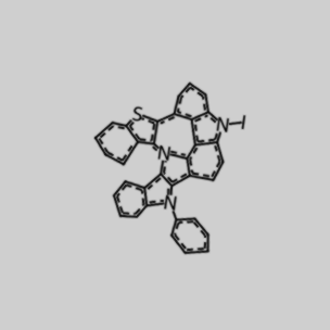 In1c2cccc3c4sc5ccccc5c4n4c5c(ccc1c5c32)c1c4c2ccccc2n1-c1ccccc1